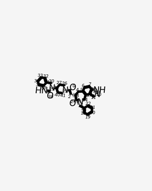 O=C(C[C@@H]1Cc2ccc3[nH]ncc3c2CN(Cc2ccccc2)C1=O)N1CCC(N2Cc3ccccc3NC2=O)CC1